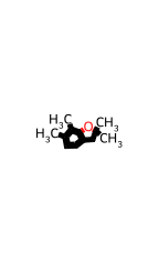 Cc1ccc2c(c1C)OC(C)(C)C2